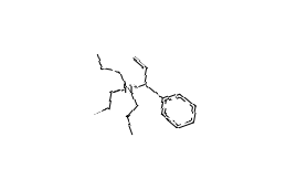 C=CC(c1ccccc1)[N+](CCC)(CCC)CCC